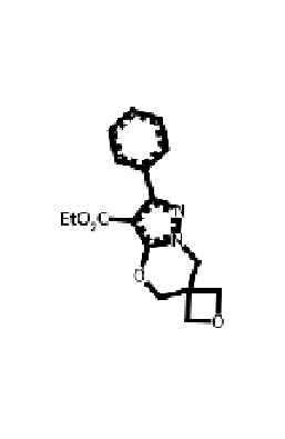 CCOC(=O)c1c(-c2ccccc2)nn2c1OCC1(COC1)C2